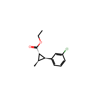 CCOC(=O)[C@H]1[C@H](C)[C@@H]1c1cccc(Cl)c1